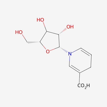 O=C(O)C1=CN([C@@H]2O[C@H](CO)C(O)[C@@H]2O)C=CC1